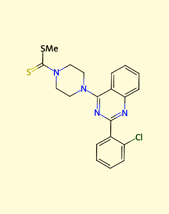 CSC(=S)N1CCN(c2nc(-c3ccccc3Cl)nc3ccccc23)CC1